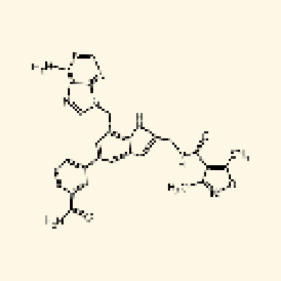 Cc1noc(C)c1C(=O)NCc1cc2cc(-c3cccc(C(N)=O)c3)cc(Cn3cnc4c(N)ncnc43)c2[nH]1